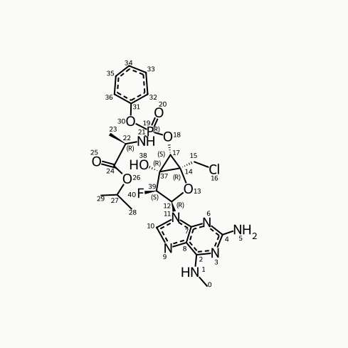 CNc1nc(N)nc2c1ncn2[C@@H]1O[C@]2(CCl)[C@@H](O[P@](=O)(N[C@H](C)C(=O)OC(C)C)Oc3ccccc3)[C@]2(O)[C@@H]1F